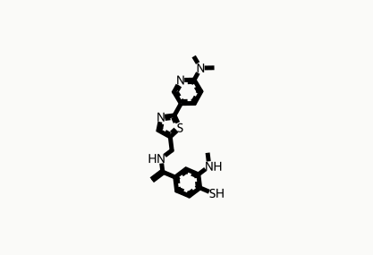 C=C(NCc1cnc(-c2ccc(N(C)C)nc2)s1)c1ccc(S)c(NC)c1